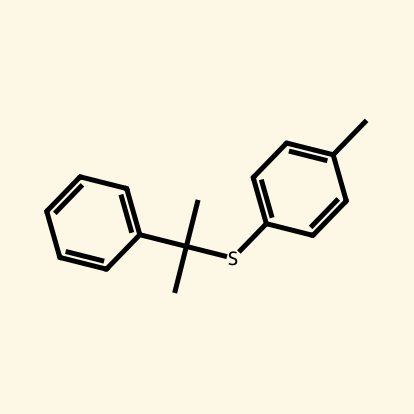 Cc1ccc(SC(C)(C)c2ccccc2)cc1